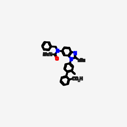 CCCCc1nc2ccc(N(Cc3ccccc3)C(=O)NC)cc2n1-c1ccc(-c2ccccc2C(=O)O)c(C)c1